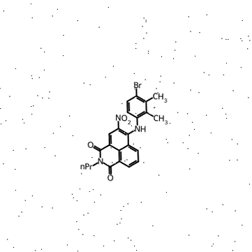 CCCN1C(=O)c2cccc3c(Nc4ccc(Br)c(C)c4C)c([N+](=O)[O-])cc(c23)C1=O